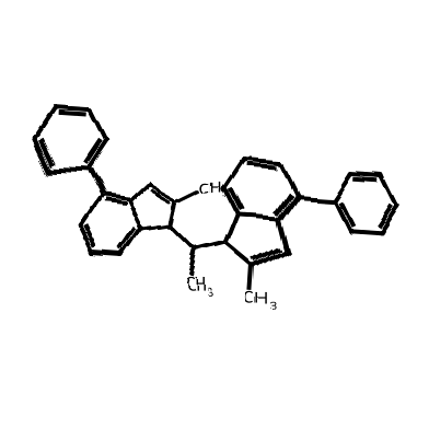 CC1=Cc2c(-c3ccccc3)cccc2C1C(C)C1C(C)=Cc2c(-c3ccccc3)cccc21